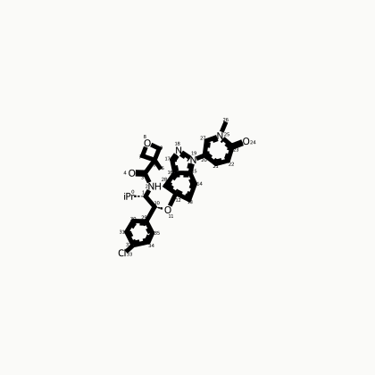 CC(C)[C@H](NC(=O)C1(C)COC1)[C@H](Oc1ccc2c(cnn2-c2ccc(=O)n(C)c2)c1)c1ccc(Cl)cc1